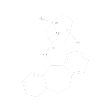 C[N+]1(C)[C@@H]2CC[C@H]1C[C@H](OC1c3ccccc3CCc3ccccc31)C2